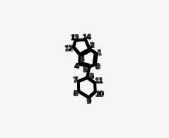 c1cc2c(cc1C1CCCCC1)CCC2